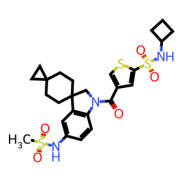 CS(=O)(=O)Nc1ccc2c(c1)C1(CCC3(CC3)CC1)CN2C(=O)c1csc(S(=O)(=O)NC2CCC2)c1